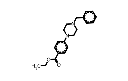 CCOC(=O)c1ccc(N2CCN(Cc3ccccc3)CC2)cc1